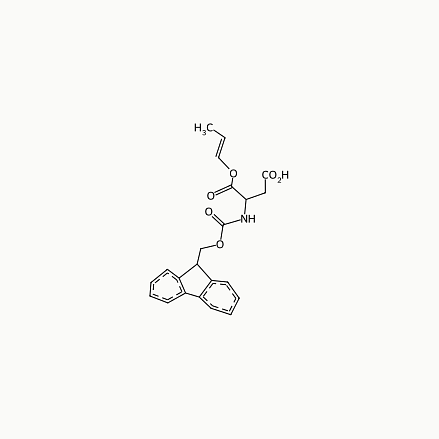 C/C=C/OC(=O)C(CC(=O)O)NC(=O)OCC1c2ccccc2-c2ccccc21